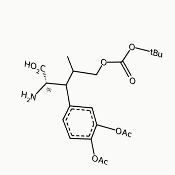 CC(=O)Oc1ccc(C(C(C)COC(=O)OC(C)(C)C)[C@H](N)C(=O)O)cc1OC(C)=O